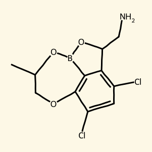 CC1COc2c(Cl)cc(Cl)c3c2B(O1)OC3CN